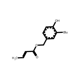 CC=CC(=O)OCc1ccc(O)c(C(C)(C)C)c1